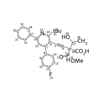 CO[PH](=O)C(C#Cc1c(-c2ccc(F)cc2)cc(-c2ccccc2)nc1C(C)(C)C)(C(=O)O)C(C)O